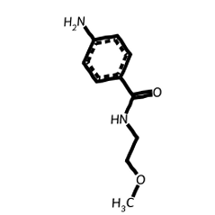 COCCNC(=O)c1ccc(N)cc1